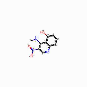 CNc1c([N+](=O)[O-])cnc2cccc(O)c12